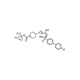 CC(C)(C)OC(=O)N1CCC(C2C[C@@]2(NS(=O)(=O)c2ccc(-c3ccc(Cl)cc3)cc2)C(=O)O)CC1